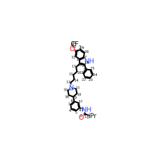 CC(C)C(=O)Nc1cccc(C2CCN(CCCCCc3c(-c4ccccc4)[nH]c4ccc(OC(F)(F)F)cc34)CC2)c1